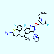 COCC1CC2(COc3nc(N4CC5CCC(C4)N5)c4cc5c(c(F)c4n3)-c3ccc(F)c4c3C(CC=C(N)S4)CC5C)CC(F)CN12